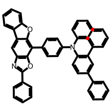 c1ccc(-c2ccc(N(c3ccccc3)c3ccc(-c4c5oc(-c6ccccc6)nc5cc5c4oc4ccccc45)cc3)c(-c3ccccc3)c2)cc1